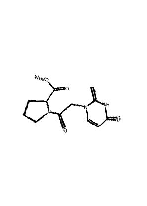 C=C1NC(=O)C=CN1CC(=O)N1CCCC1C(=O)OC